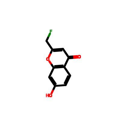 O=c1cc(CF)oc2cc(O)ccc12